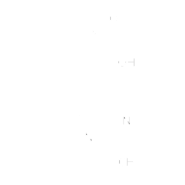 Cc1ncc(-c2ccccc(=O)c2O)cn1